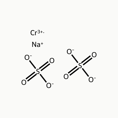 O=S(=O)([O-])[O-].O=S(=O)([O-])[O-].[Cr+3].[Na+]